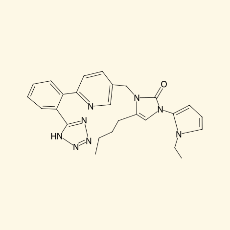 CCCCc1cn(-c2cccn2CC)c(=O)n1Cc1ccc(-c2ccccc2-c2nnn[nH]2)nc1